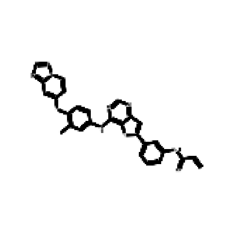 C=CC(=O)Nc1cccc(-c2cc3ncnc(Nc4ccc(Oc5ccn6ncnc6c5)c(C)c4)c3s2)c1